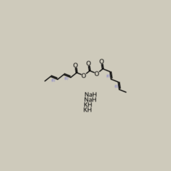 C/C=C/C=C/C(=O)OC(=O)OC(=O)/C=C/C=C/C.[KH].[KH].[NaH].[NaH]